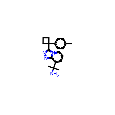 Cc1ccc(C2(c3nnc4c(C(C)(C)N)cccn34)CCC2)cc1